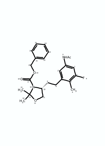 CC(=O)Nc1cc(F)c(C)c(CC[C@@H]2COC(C)(C)N2C(=O)OCc2ccccc2)c1